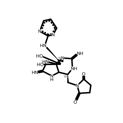 N=C1NC2[C@H](CN3C(=O)CCC3=O)NC(=N)N3C[C@H](Nc4ncccn4)C(O)(O)C23N1